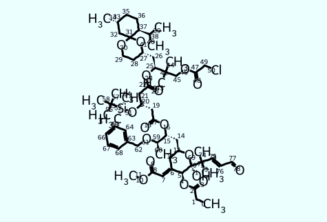 CCC(=O)O[C@H]1/C(=C/C(=O)OC)C[C@@H](C[C@@H](OC(=O)C[C@@H](CC(=O)O[C@@H](C[C@@H]2CCOC3(C[C@H](C)CC[C@H]3C(C)C)O2)C(C)(C)COC(=O)CCl)O[Si](C)(C)C(C)(C)C)[C@@H](C)OCc2ccccc2)O[C@@]1(O)C(C)(C)/C=C/C=O